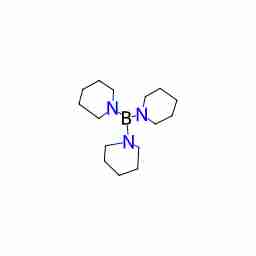 C1CCN(B(N2CCCCC2)N2CCCCC2)CC1